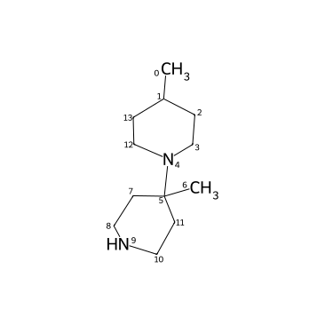 CC1CCN(C2(C)CCNCC2)CC1